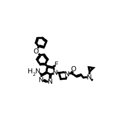 CN(CC=CC(=O)N1CCC(n2c(F)c(-c3ccc(Oc4ccccc4)cc3)c3c(N)ncnc32)C1)C1CC1